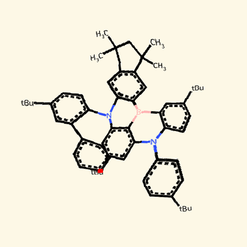 CC(C)(C)c1ccc(N2c3ccc(C(C)(C)C)cc3B3c4cc5c(cc4N(c4ccc(C(C)(C)C)cc4-c4ccccc4)c4cc(C(C)(C)C)cc2c43)C(C)(C)CC5(C)C)cc1